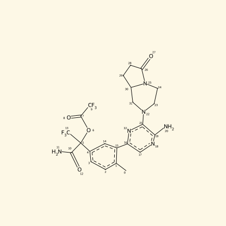 Cc1ccc(C(OC(=O)C(F)(F)F)(C(N)=O)C(F)(F)F)cc1-c1cnc(N)c(N2CCN3C(=O)CCC3C2)n1